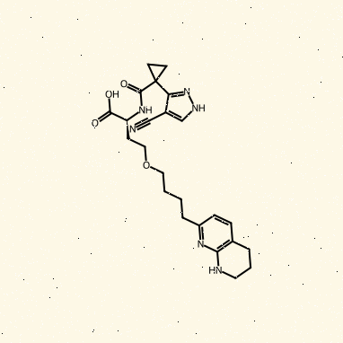 N#Cc1c[nH]nc1C1(C(=O)N[C@@H](CCOCCCCc2ccc3c(n2)NCCC3)C(=O)O)CC1